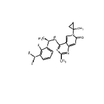 Cc1nc(N[C@H](C)c2cccc(C(F)F)c2F)c2cn(C3(C)CC3)c(=O)cc2n1